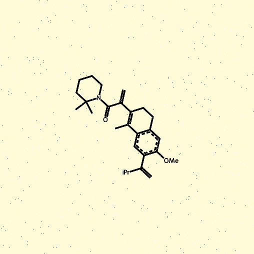 C=C(C(=O)N1CCCCC1(C)C)C1=C(C)c2cc(C(=C)C(C)C)c(OC)cc2CC1